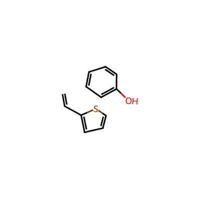 C=Cc1cccs1.Oc1ccccc1